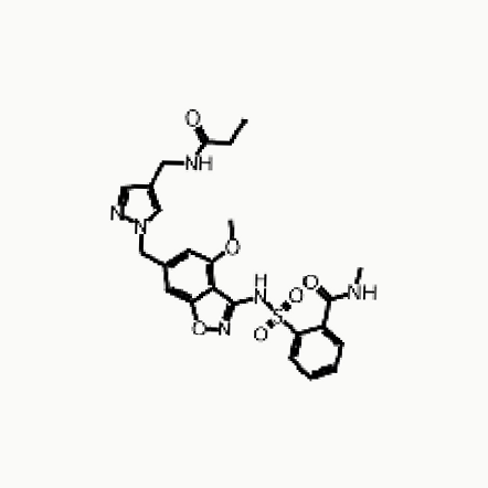 CCC(=O)NCc1cnn(Cc2cc(OC)c3c(NS(=O)(=O)c4ccccc4C(=O)NC)noc3c2)c1